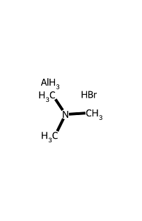 Br.CN(C)C.[AlH3]